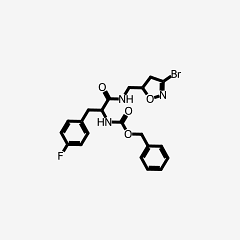 O=C(NC(Cc1ccc(F)cc1)C(=O)NCC1CC(Br)=NO1)OCc1ccccc1